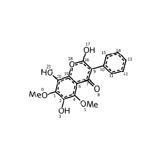 COc1c(O)c(OC)c2c(=O)c(-c3ccccc3)c(O)oc2c1O